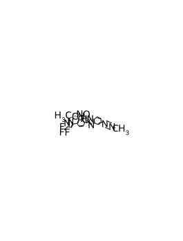 CC(C)n1nc(C(F)(F)F)cc1-c1ccc(-c2nc3cc(N4CCN(C)CC4)ccc3[nH]2)c2c1C=NC2=O